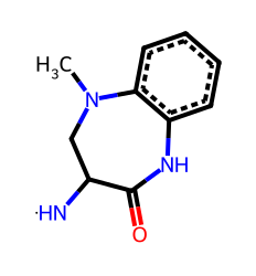 CN1CC([NH])C(=O)Nc2ccccc21